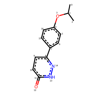 CC(C)Oc1ccc(-c2ccc(=O)[nH]n2)cc1